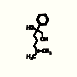 CN(C)CCCC(O)(CO)c1ccccc1